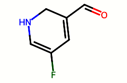 O=CC1=CC(F)=CNC1